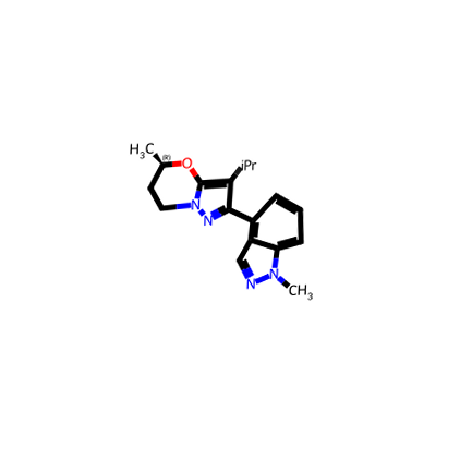 CC(C)c1c(-c2cccc3c2cnn3C)nn2c1O[C@H](C)CC2